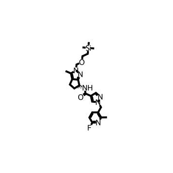 Cc1nc(F)ccc1Cn1cc(C(=O)N[C@@H]2CCc3c2nn(COCC[Si](C)(C)C)c3C)cn1